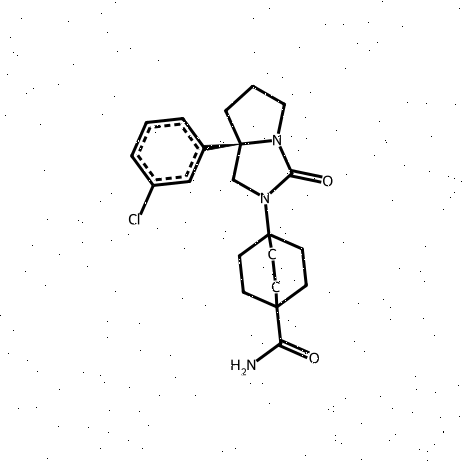 NC(=O)C12CCC(N3C[C@]4(c5cccc(Cl)c5)CCCN4C3=O)(CC1)CC2